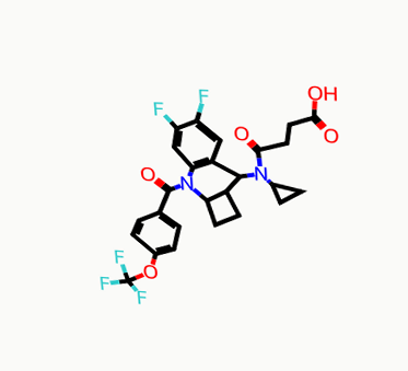 O=C(O)CCC(=O)N(C1CC1)C1c2cc(F)c(F)cc2N(C(=O)c2ccc(OC(F)(F)F)cc2)C2CCC21